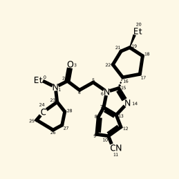 CCN(C(=O)CCn1c2ccc(C#N)cc2nc1[C@H]1CC[C@H](CC)CC1)C1CCCCC1